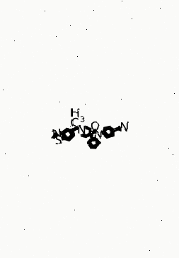 C[C@@H](c1ccc2scnc2c1)N1CCC2(CC1)C(=O)N(c1ccc(C#N)cc1)c1ccccc12